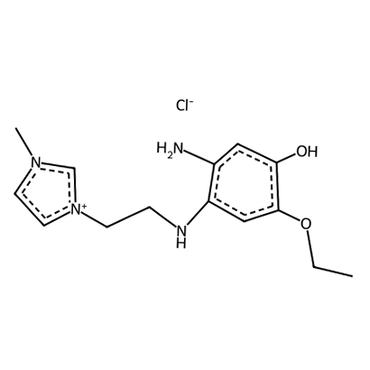 CCOc1cc(NCC[n+]2ccn(C)c2)c(N)cc1O.[Cl-]